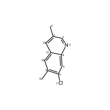 Cc1cnc2cc(Cl)c(C)cc2c1